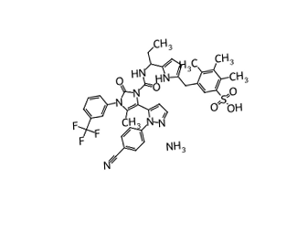 CCC(NC(=O)n1c(-c2ccnn2-c2ccc(C#N)cc2)c(C)n(-c2cccc(C(F)(F)F)c2)c1=O)c1ccc(Cc2cc(S(=O)(=O)O)c(C)c(C)c2C)[nH]1.N